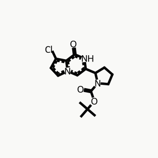 CC(C)(C)OC(=O)N1CCCC1c1cn2ccc(Cl)c2c(=O)[nH]1